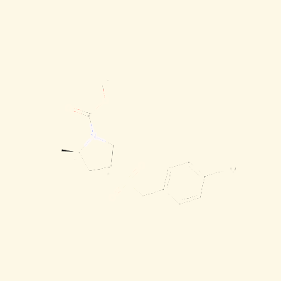 COc1ccc(CS(=O)(=O)[C@@H]2C[C@@H](C(=O)O)N(C(=O)OC(C)(C)C)C2)cc1